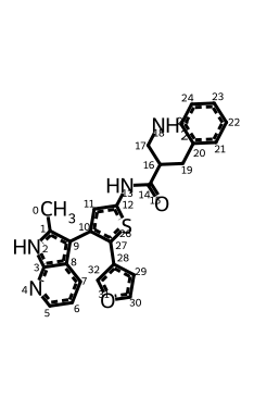 Cc1[nH]c2ncccc2c1-c1cc(NC(=O)C(CN)Cc2ccccc2)sc1-c1ccoc1